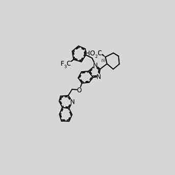 O=C(O)[C@H]1CCCCC1c1nc2cc(OCc3ccc4ccccc4n3)ccc2n1Cc1cccc(C(F)(F)F)c1